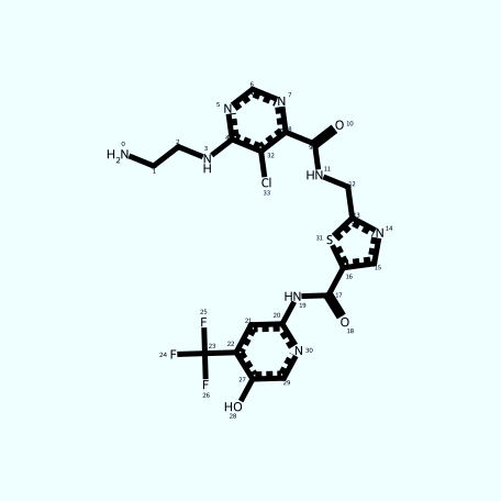 NCCNc1ncnc(C(=O)NCc2ncc(C(=O)Nc3cc(C(F)(F)F)c(O)cn3)s2)c1Cl